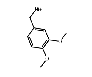 COc1ccc(C[NH])cc1OC